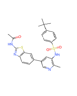 CC(=O)Nc1nc2ccc(-c3cnc(C)c(NS(=O)(=O)c4ccc(C(C)(C)C)cc4)c3)cc2s1